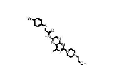 Cc1nc(N2CCN(CCO)CC2)nc2ncc(NC(=O)COc3ccc(Br)cc3)nc12